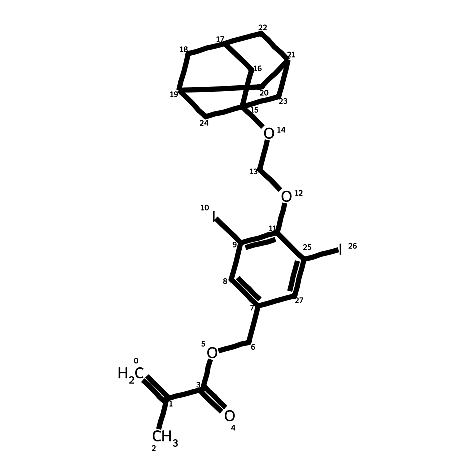 C=C(C)C(=O)OCc1cc(I)c(OCOC23CC4CC(CC(C4)C2)C3)c(I)c1